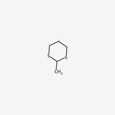 CC1SC[CH]CS1